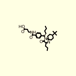 CCCC[C@H](c1ccc(C(=O)NCCC(=O)O)cc1)N1C(=O)C(CCC)=NC12CCC(C(C)(C)C)CC2